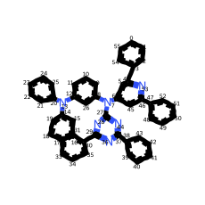 c1ccc(-c2cc(N(c3cccc(N(c4ccccc4)c4ccccc4)c3)c3nc(-c4ccccc4)nc(-c4ccccc4)n3)cc(-c3ccccc3)n2)cc1